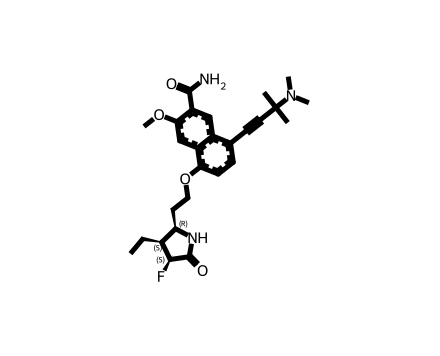 CC[C@@H]1[C@H](F)C(=O)N[C@@H]1CCOc1ccc(C#CC(C)(C)N(C)C)c2cc(C(N)=O)c(OC)cc12